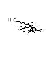 C#Cc1cc(C(C)(CCCC)CCCCCCC)n(C)n1